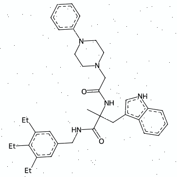 CCc1cc(CNC(=O)C(C)(Cc2c[nH]c3ccccc23)NC(=O)CN2CCN(c3ccccc3)CC2)cc(CC)c1CC